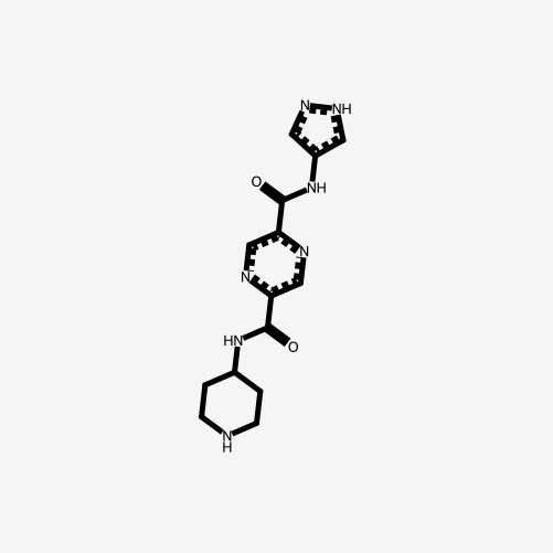 O=C(Nc1cn[nH]c1)c1cnc(C(=O)NC2CCNCC2)cn1